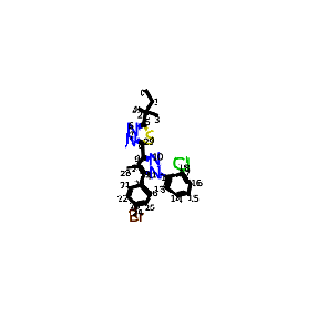 CCC(C)(C)c1nnc(-c2nn(-c3ccccc3Cl)c(-c3ccc(Br)cc3)c2C)s1